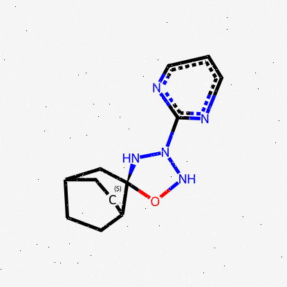 c1cnc(N2NO[C@]3(CC4CCC3CC4)N2)nc1